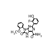 COc1ccccc1-n1c(=O)[nH]c2c(C(N)=O)nc(-c3cccc(O)c3F)nc21